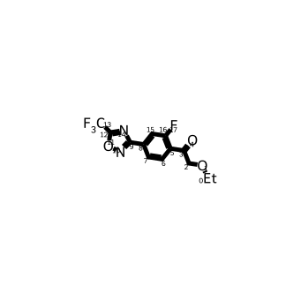 CCOCC(=O)c1ccc(-c2noc(C(F)(F)F)n2)cc1F